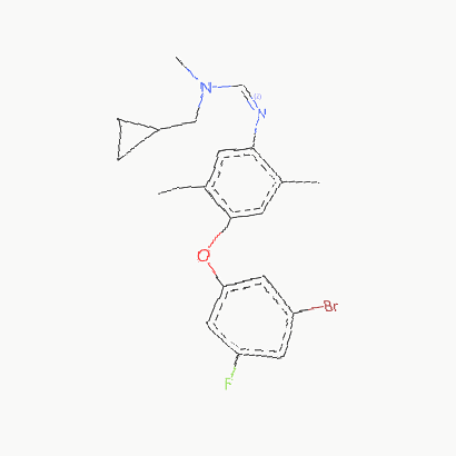 Cc1cc(Oc2cc(F)cc(Br)c2)c(C)cc1/N=C\N(C)CC1CC1